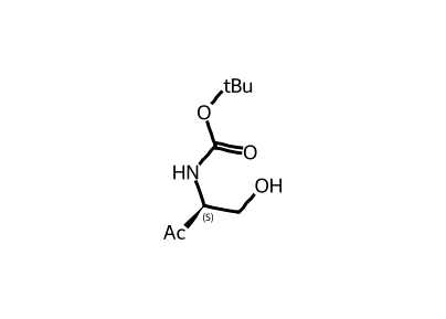 CC(=O)[C@H](CO)NC(=O)OC(C)(C)C